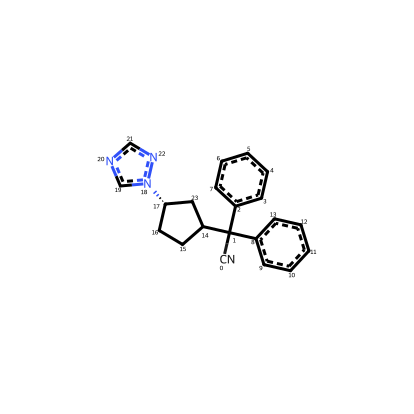 N#CC(c1ccccc1)(c1ccccc1)C1CC[C@H](n2cncn2)C1